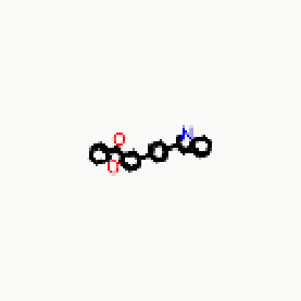 O=c1c2ccccc2oc2ccc(-c3ccc(-c4cnc5ccccc5c4)cc3)cc12